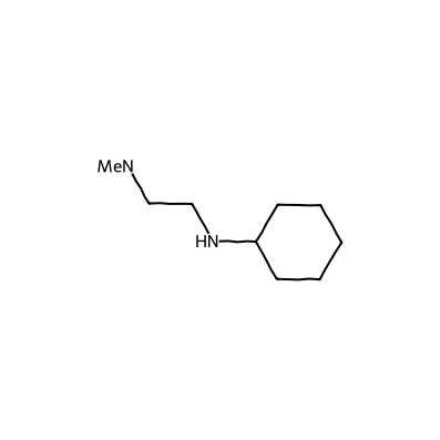 [CH2-][NH2+]CCNC1CCCCC1